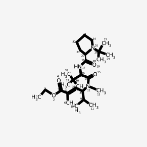 CCOC(=O)/C(C)=C/C(C(C)C)N(C)C(=O)C(NC(=O)[C@H]1CCCCN1C(C)(C)C)C(C)(C)C